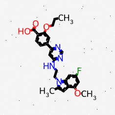 CCCOc1cc(-c2cc(NCCn3c(C)cc4c(OC)cc(F)cc43)ncn2)ccc1C(=O)O